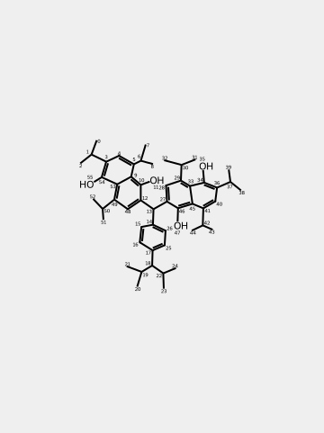 CC(C)c1cc(C(C)C)c2c(O)c(C(c3ccc(C(C(C)C)C(C)C)cc3)c3cc(C(C)C)c4c(O)c(C(C)C)cc(C(C)C)c4c3O)cc(C(C)C)c2c1O